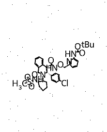 CC(C)(C)OC(=O)Nc1cccc(CONC(=O)[C@@H]2c3ccccc3C(=O)N([C@H]3CCCC[C@@H]3NS(C)(=O)=O)[C@H]2c2ccc(Cl)cc2)n1